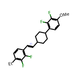 CCc1ccc(/C=C/C2CCC(c3ccc(OC)c(F)c3F)CC2)c(F)c1F